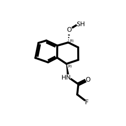 O=C(CF)N[C@@H]1CC[C@@H](OS)c2ccccc21